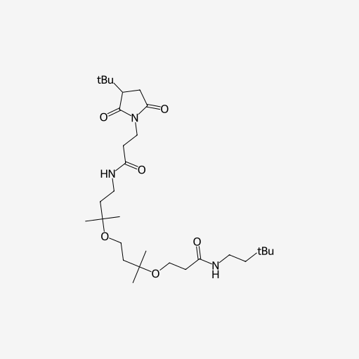 CC(C)(C)CCNC(=O)CCOC(C)(C)CCOC(C)(C)CCNC(=O)CCN1C(=O)CC(C(C)(C)C)C1=O